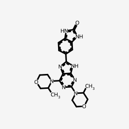 CC1COCCN1c1nc(N2CCOCC2C)c2nc(-c3ccc4[nH]c(=O)[nH]c4c3)[nH]c2n1